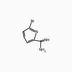 N=C(N)c1cccc(Br)n1